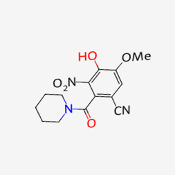 COc1cc(C#N)c(C(=O)N2CCCCC2)c([N+](=O)[O-])c1O